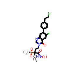 CC(CCn1cnc2cc(-c3ccc(CCBr)cc3)c(F)cc2c1=O)(C(=O)NO)S(C)(=O)=O